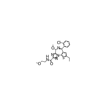 CCc1cc2c(s1)-n1nc(C(=O)NCCOC)nc1C(OC)N=C2c1ccccc1Cl